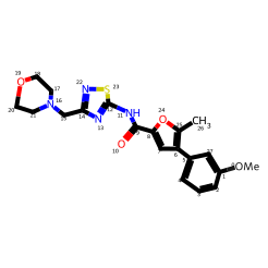 COc1cccc(-c2cc(C(=O)Nc3nc(CN4CCOCC4)ns3)oc2C)c1